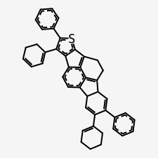 C1=CCCC(c2c(-c3ccccc3)sc3c2-c2ccc4c5c2=C3CCC=5C2C=C(c3ccccc3)C(C3=CCCCC3)=CC42)=C1